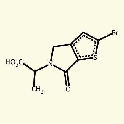 CC(C(=O)O)N1Cc2cc(Br)sc2C1=O